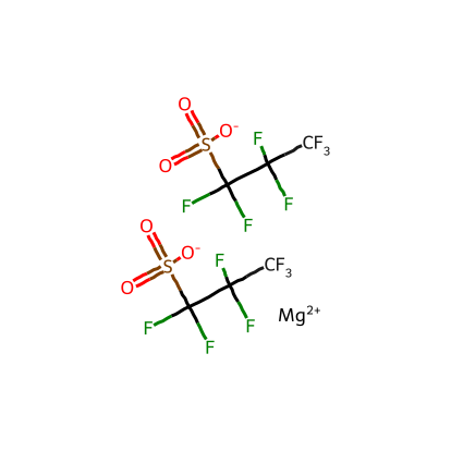 O=S(=O)([O-])C(F)(F)C(F)(F)C(F)(F)F.O=S(=O)([O-])C(F)(F)C(F)(F)C(F)(F)F.[Mg+2]